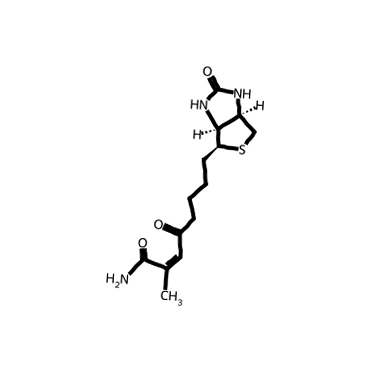 CC(=CC(=O)CCCC[C@@H]1SC[C@@H]2NC(=O)N[C@@H]21)C(N)=O